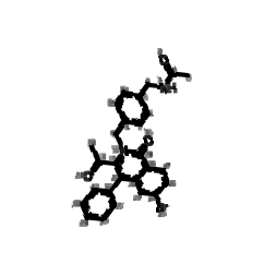 CC(=O)NCc1ccc(Cn2c(C(C)=O)c(-c3ccccc3)c3cc(Br)ccc3c2=O)cc1